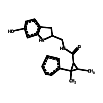 CC1C(C(=O)NCC2Cc3ccc(O)cc3N2)C1(C)c1ccccc1